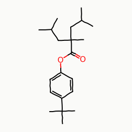 CC(C)CC(C)(CC(C)C)C(=O)Oc1ccc(C(C)(C)C)cc1